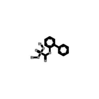 CCOP(=O)(OCC)C(=O)Oc1ccccc1-c1ccccc1